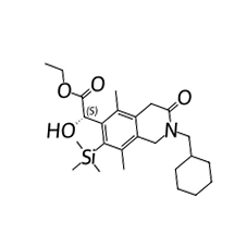 CCOC(=O)[C@@H](O)c1c(C)c2c(c(C)c1[Si](C)(C)C)CN(CC1CCCCC1)C(=O)C2